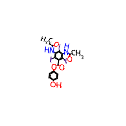 CCC(=O)Nc1c(I)c(NC(C)=O)c(I)c(C(=O)Oc2ccc(O)cc2)c1I